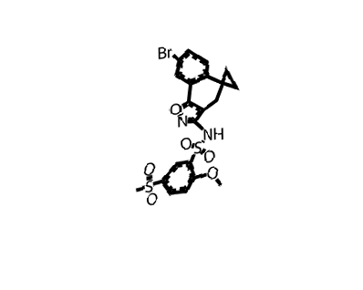 COc1ccc(S(C)(=O)=O)cc1S(=O)(=O)Nc1noc2c1CC1(CC1)c1ccc(Br)cc1-2